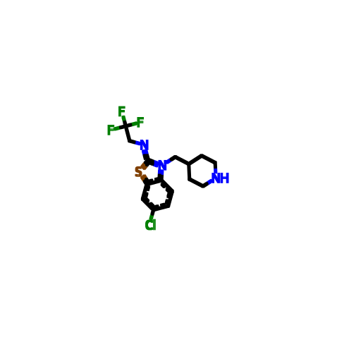 FC(F)(F)C/N=c1\sc2cc(Cl)ccc2n1CC1CCNCC1